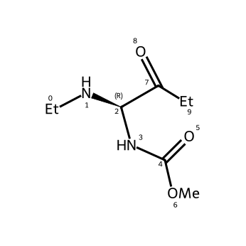 CCN[C@H](NC(=O)OC)C(=O)CC